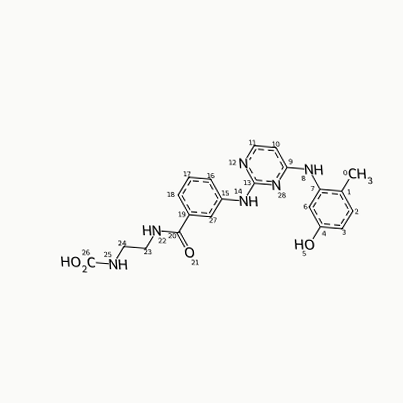 Cc1ccc(O)cc1Nc1ccnc(Nc2cccc(C(=O)NCCNC(=O)O)c2)n1